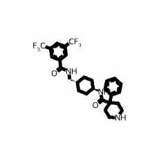 O=C(NC[C@H]1CC[C@H](NC(=O)C2(c3ccccc3)CCNCC2)CC1)c1cc(C(F)(F)F)cc(C(F)(F)F)c1